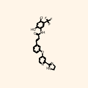 O=C(/C=C/c1cccc(Oc2ccnc(C3=NCCN3)c2)c1)Nc1cc(C(F)(F)F)c(Cl)cc1O